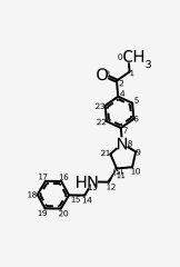 CCC(=O)c1ccc(N2CC[C@@H](CNCc3ccccc3)C2)cc1